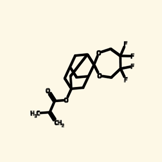 C=C(C)C(=O)OC12CC3CC(C1)C1(OCC(F)(F)C(F)(F)CO1)C(C3)C2